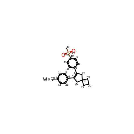 CSc1ccc(C2=C(c3ccc(S(C)(=O)=O)cc3)CC3(CCC3)C2)cc1